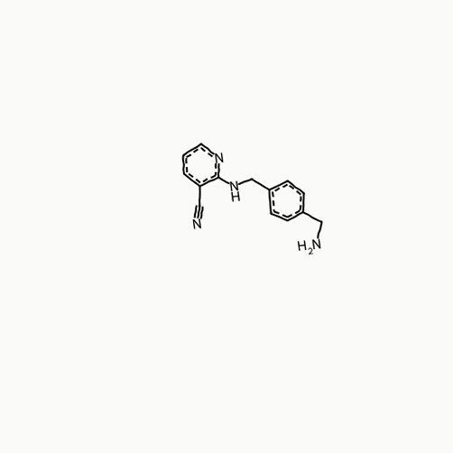 N#Cc1cccnc1NCc1ccc(CN)cc1